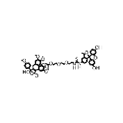 COc1ccc(C2(O)OC(=O)C(c3ccc4c(c3)OCO4)=C2Cc2cc(OC)c(OC)c(OCCOCCOCCOCCNC(=S)Nc3ccc(C4(C)c5ccc(O)cc5Oc5cc(O)ccc54)c(C(C)=O)c3)c2)cc1